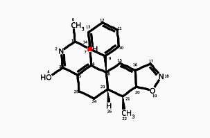 CC1N=C(O)C2=C(N1)[C@]1(c3ccccc3)C=C3C=NOC3[C@@H](C)[C@@H]1CC2